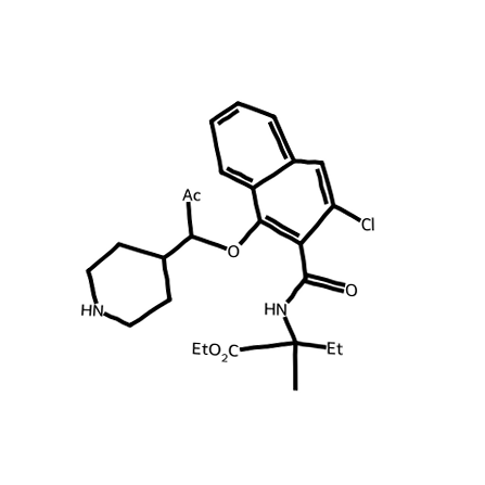 CCOC(=O)C(C)(CC)NC(=O)c1c(Cl)cc2ccccc2c1OC(C(C)=O)C1CCNCC1